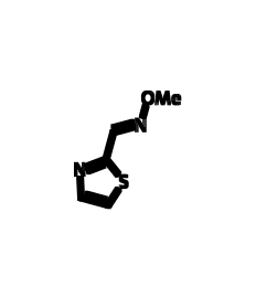 CO/N=C/c1nccs1